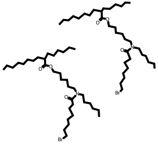 CCCCCCCCC(CCCCCC)C(=O)OCCCCCCN(CCCCCC)C(=O)CCCCCCCBr.CCCCCCCCC(CCCCCC)C(=O)OCCCCCCN(CCCCCC)C(=O)CCCCCCCBr